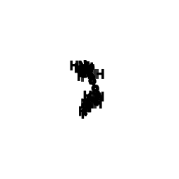 CC(C)[C@H](Nc1nccc(C(F)(F)F)n1)C(=O)N1CCC[C@H]1c1ncc(-c2ccc(-c3ccc(-c4cnc([C@@H]5CCCN5C(=O)[C@@H](Nc5nccc(C(F)(F)F)n5)C(C)C)[nH]4)cc3)cc2)[nH]1